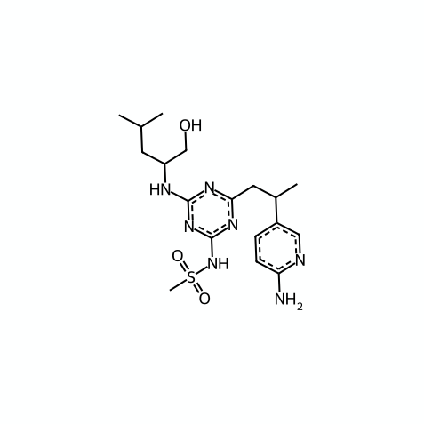 CC(C)CC(CO)Nc1nc(CC(C)c2ccc(N)nc2)nc(NS(C)(=O)=O)n1